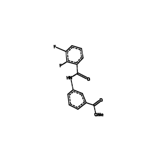 COC(=O)c1cccc(NC(=O)c2cccc(F)c2F)c1